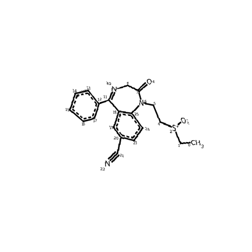 CC[S+]([O-])CCN1C(=O)CN=C(c2ccccc2)c2cc(C#N)ccc21